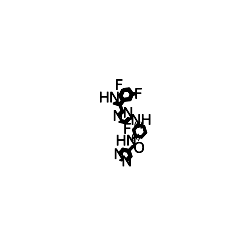 O=C(N[C@@H]1CCC[C@H](Nc2nc(-c3c[nH]c4c(F)cc(F)cc34)ncc2F)C1)c1cncnc1